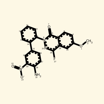 COc1ccc2c(=O)n(-c3ccccc3-c3ccc(N)c([N+](=O)[O-])c3)nc(F)c2c1